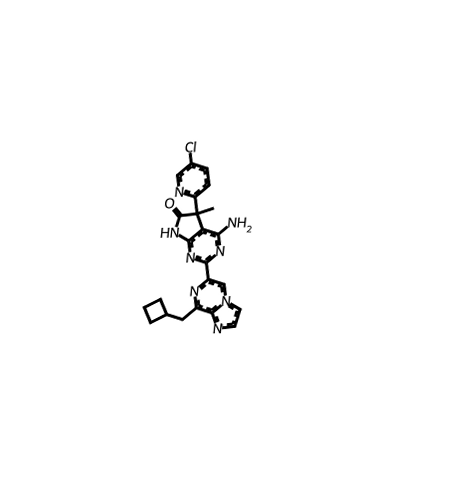 CC1(c2ccc(Cl)cn2)C(=O)Nc2nc(-c3cn4ccnc4c(CC4CCC4)n3)nc(N)c21